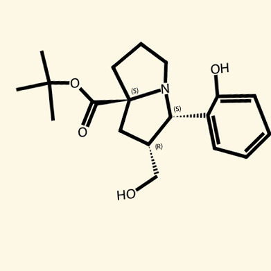 CC(C)(C)OC(=O)[C@@]12CCCN1[C@H](c1ccccc1O)[C@H](CO)C2